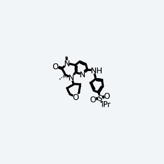 CC(C)S(=O)(=O)c1ccc(Nc2ccc3c(n2)N(C2CCOCC2)[C@H](C)C(=O)N3C)cc1